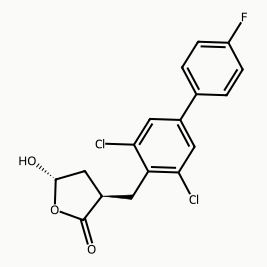 O=C1O[C@H](O)C[C@H]1Cc1c(Cl)cc(-c2ccc(F)cc2)cc1Cl